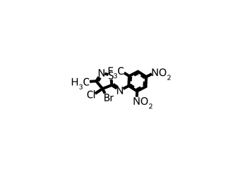 CC1=NSC(=Nc2c([N+](=O)[O-])cc([N+](=O)[O-])cc2C(F)(F)F)C1(Cl)Br